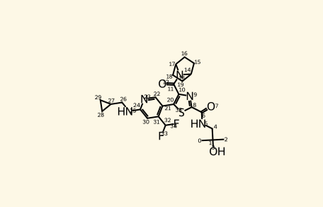 CC(C)(O)CNC(=O)c1nc(C(=O)N2C3CCC2CC3)c(-c2cnc(NCC3CC3)cc2C(F)F)s1